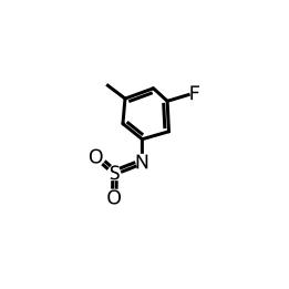 Cc1cc(F)cc(N=S(=O)=O)c1